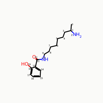 CC(N)CCCCCCCNC(=O)c1ccccc1O